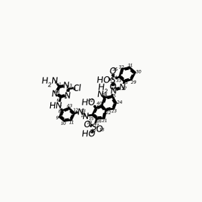 Nc1nc(Cl)nc(Nc2cccc(N=Nc3c(S(=O)(=O)O)cc4ccc(N=Nc5ccccc5S(=O)(=O)O)c(N)c4c3O)c2)n1